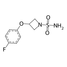 NS(=O)(=O)N1CC(Oc2ccc(F)cc2)C1